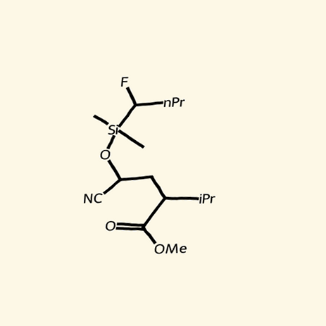 CCCC(F)[Si](C)(C)OC(C#N)CC(C(=O)OC)C(C)C